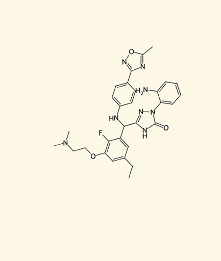 CCc1cc(OCCN(C)C)c(F)c(C(Nc2ccc(-c3noc(C)n3)cc2)c2nn(-c3ccccc3N)c(=O)[nH]2)c1